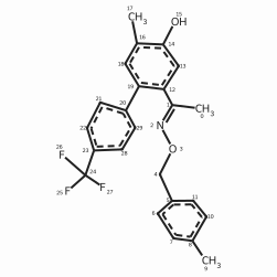 C/C(=N\OCc1ccc(C)cc1)c1cc(O)c(C)cc1-c1ccc(C(F)(F)F)cc1